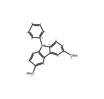 COc1ccc2c(c1)c1cc(OC)ccc1n2-c1ccccc1